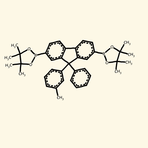 Cc1cccc(C2(c3ccccc3)c3cc(B4OC(C)(C)C(C)(C)O4)ccc3-c3ccc(B4OC(C)(C)C(C)(C)O4)cc32)c1